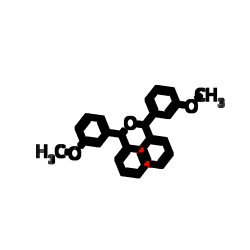 COc1cccc(C(OC(c2ccccc2)c2cccc(OC)c2)c2ccccc2)c1